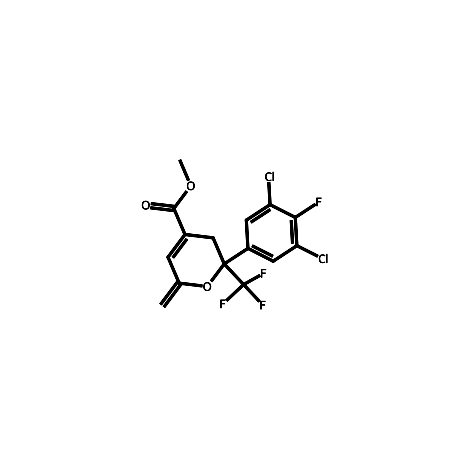 C=C1C=C(C(=O)OC)CC(c2cc(Cl)c(F)c(Cl)c2)(C(F)(F)F)O1